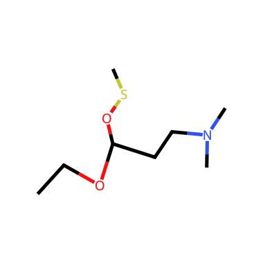 CCOC(CCN(C)C)OSC